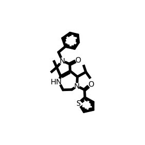 CC(C)C1C2=C(NCCN1C(=O)c1cccs1)C(C)(C)N(Cc1ccccc1)C2=O